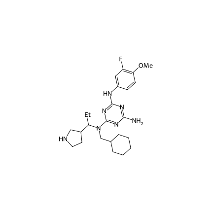 CCC(C1CCNC1)N(CC1CCCCC1)c1nc(N)nc(Nc2ccc(OC)c(F)c2)n1